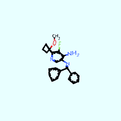 COC1(c2ncc(N=C(c3ccccc3)c3ccccc3)c(N)c2F)CCC1